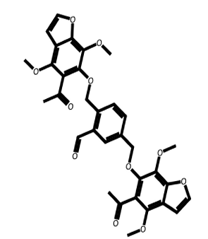 COc1c(C(C)=O)c(OCc2ccc(COc3c(C(C)=O)c(OC)c4ccoc4c3OC)c(C=O)c2)c(OC)c2occc12